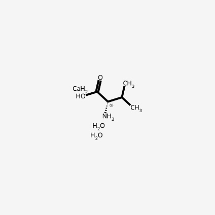 CC(C)[C@H](N)C(=O)O.O.O.[CaH2]